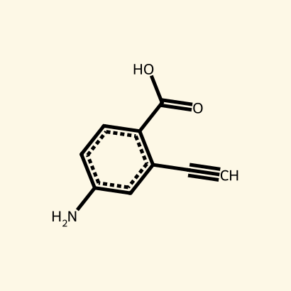 C#Cc1cc(N)ccc1C(=O)O